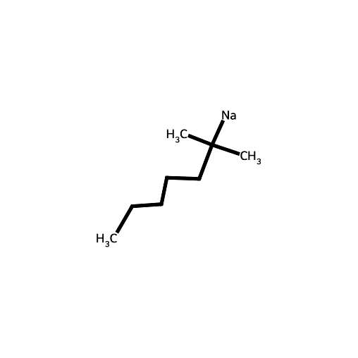 CCCCC[C](C)(C)[Na]